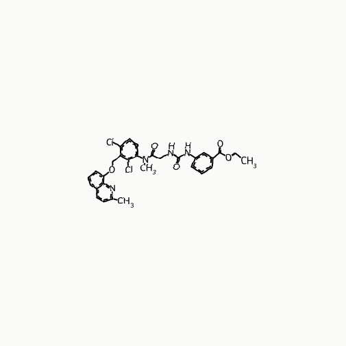 CCOC(=O)c1cccc(NC(=O)NCC(=O)N(C)c2ccc(Cl)c(COc3cccc4ccc(C)nc34)c2Cl)c1